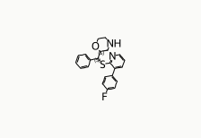 Fc1ccc(-c2cccnc2S[C@@H](c2ccccc2)[C@@H]2CNCCO2)cc1